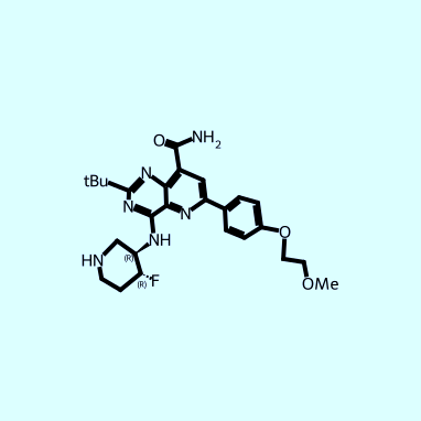 COCCOc1ccc(-c2cc(C(N)=O)c3nc(C(C)(C)C)nc(N[C@@H]4CNCC[C@H]4F)c3n2)cc1